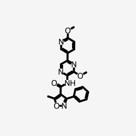 COc1ccc(-c2cnc(NC(=O)c3c(-c4ccccc4)noc3C)c(OC)n2)cn1